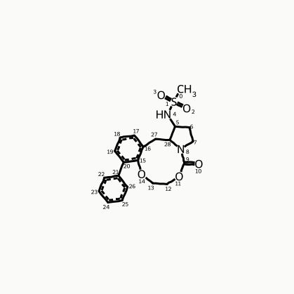 CS(=O)(=O)NC1CCN2C(=O)OCCOc3c(cccc3-c3ccccc3)CC12